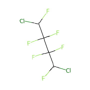 F[C](Cl)C(F)(F)C(F)(F)[C](F)Cl